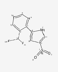 O=[SH](=O)c1c[nH]c(-c2ncccc2C(F)F)c1